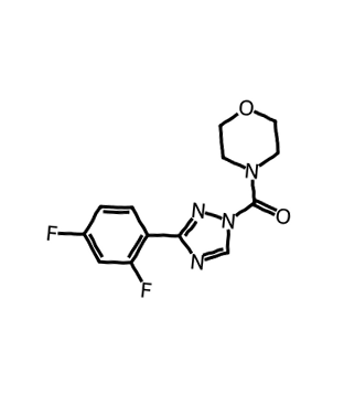 O=C(N1CCOCC1)n1cnc(-c2ccc(F)cc2F)n1